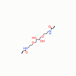 C=CC(=O)NCCCOCC(O)[C@@H](O)COCCCNC(=O)C=C